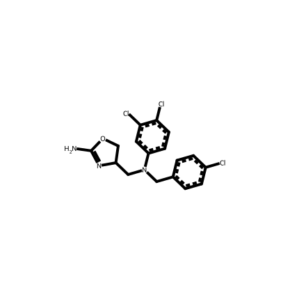 NC1=NC(CN(Cc2ccc(Cl)cc2)c2ccc(Cl)c(Cl)c2)CO1